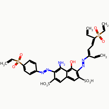 C=CC(=C\C=C(/C=C)S(=O)(=O)C=C)/N=N/c1c(S(=O)(=O)O)cc2cc(S(=O)(=O)O)c(/N=N/c3ccc(S(=O)(=O)C=C)cc3)c(N)c2c1O